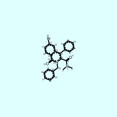 CN(C)C(=O)c1c(-c2ccccc2)c2cc(Br)ccc2c(=O)n1Cc1ccccc1